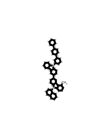 Cc1cccc2c1c1cc(-c3ccc4c(c3)c3ccccc3n4-c3cccc(-c4ccc(-c5ccccc5)cc4)c3)ccc1n2-c1cccc2ccccc12